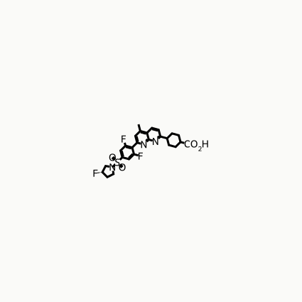 Cc1cc(-c2c(F)cc(S(=O)(=O)N3CC[C@H](F)C3)cc2F)nc2nc(C3CCC(C(=O)O)CC3)ccc12